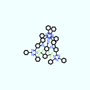 N#Cc1c(-n2c3cc(-c4nc(-c5ccccc5)nc(-c5ccccc5)n4)ccc3c3ccc(-c4nc(-c5ccccc5)nc(-c5ccccc5)n4)cc32)cc(-c2c(C(F)(F)F)cccc2C(F)(F)F)cc1-n1c2cc(-c3nc(-c4ccccc4)nc(-c4ccccc4)n3)ccc2c2ccc(-c3nc(-c4ccccc4)nc(-c4ccccc4)n3)cc21